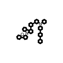 c1ccc(-c2ccc(-c3ccc(N(c4ccccc4)c4cccc(-c5cccc(-c6cccc7c6c6ccccc6n7-c6cccc7c6oc6ccccc67)c5)c4)cc3)cc2)cc1